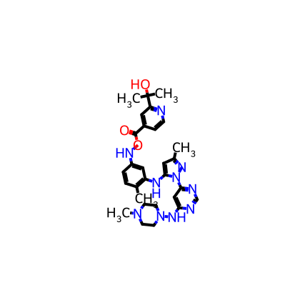 Cc1cc(Nc2cc(NOC(=O)c3ccnc(C(C)(C)O)c3)ccc2C)n(-c2cc(NN3CCN(C)CC3)ncn2)n1